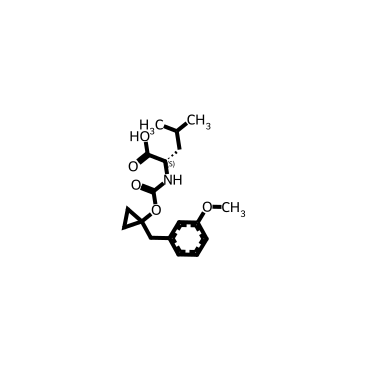 COc1cccc(CC2(OC(=O)N[C@@H](CC(C)C)C(=O)O)CC2)c1